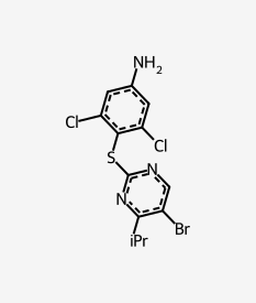 CC(C)c1nc(Sc2c(Cl)cc(N)cc2Cl)ncc1Br